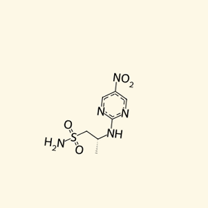 C[C@H](CS(N)(=O)=O)Nc1ncc([N+](=O)[O-])cn1